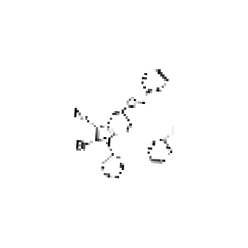 Ic1ccccc1.N#Cc1c(Br)n(-c2ccccc2)c2ccc(OCc3ccccc3)cc12